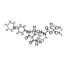 CC(C)(C)OC(=O)N1CC[C@H]2NC(=O)C(C(=O)Nc3ccc(N4CCCCC4)cc3)=C(O)[C@@]2(C)C1